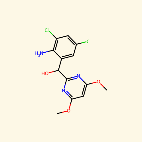 COc1cc(OC)nc(C(O)c2cc(Cl)cc(Cl)c2N)n1